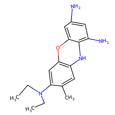 CCN(CC)c1cc2c(cc1C)Nc1c(N)cc(N)cc1O2